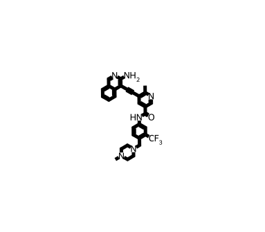 Cc1ncc(C(=O)Nc2ccc(CN3CCN(C)CC3)c(C(F)(F)F)c2)cc1C#Cc1c(N)ncc2ccccc12